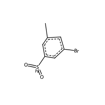 Cc1cc(Br)cc([SH](=O)=O)c1